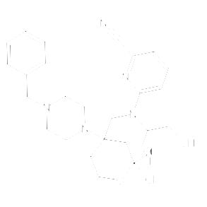 CCC(O)N(CC1(N2CCN(Cc3ccccc3)CC2)CCOC(C)(C)C1)c1cccc(C#N)n1